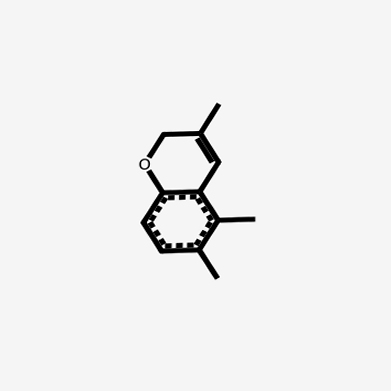 CC1=Cc2c(ccc(C)c2C)OC1